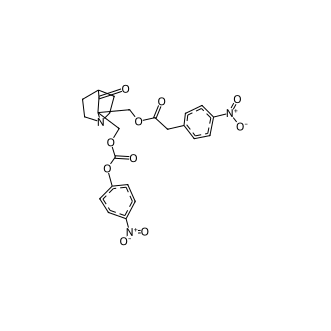 O=C(Cc1ccc([N+](=O)[O-])cc1)OCC1(COC(=O)Oc2ccc([N+](=O)[O-])cc2)C(=O)C2CCN1CC2